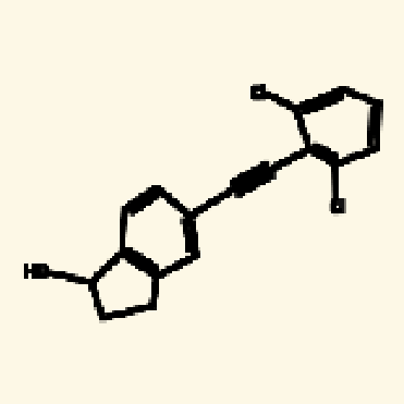 OC1CCc2cc(C#Cc3c(Cl)cccc3Cl)ccc21